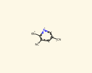 CC(C)(C)c1ncc(C#N)cc1C#N